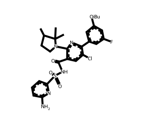 CC(C)COc1cc(F)cc(-c2nc(N3CCC(C)C3(C)C)c(C(=O)NS(=O)(=O)c3cccc(N)n3)cc2Cl)c1